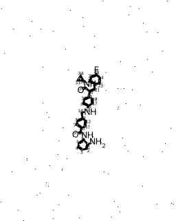 Nc1ccccc1NC(=O)c1ccc(CNc2ccc(C(=Cc3ccc(F)cc3)C(=O)NC3CC3)cc2)cc1